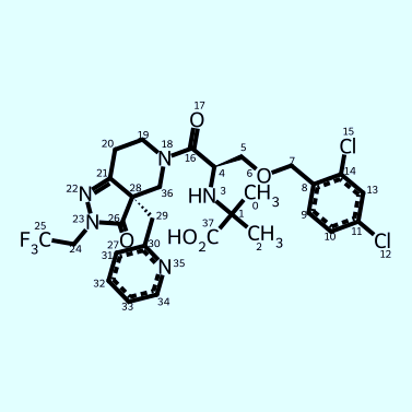 CC(C)(N[C@H](COCc1ccc(Cl)cc1Cl)C(=O)N1CCC2=NN(CC(F)(F)F)C(=O)[C@]2(Cc2ccccn2)C1)C(=O)O